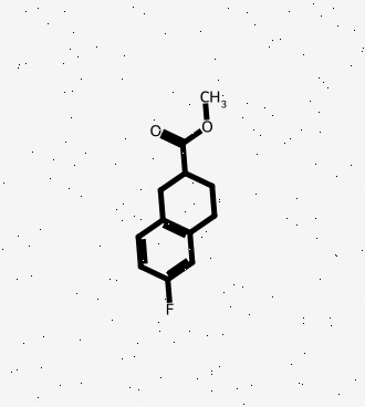 COC(=O)C1CCc2cc(F)ccc2C1